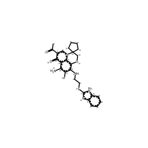 CC(=O)c1cn2c3c(c(NCCSc4nc5ccccc5[nH]4)c(F)c(N)c3c1=O)OCC21CCCC1